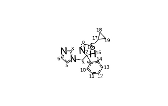 [C]1=NC(Cn2ccnc2)(c2ccccc2)C[SH]1C1CC1